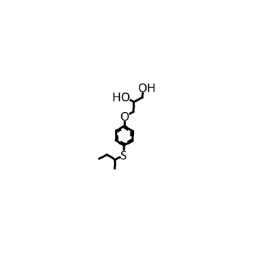 CCC(C)Sc1ccc(OCC(O)CO)cc1